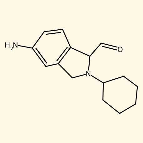 Nc1ccc2c(c1)CN(C1CCCCC1)C2C=O